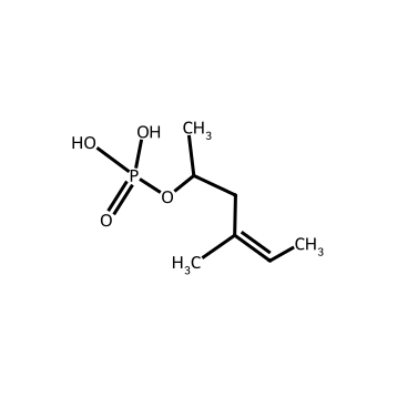 CC=C(C)CC(C)OP(=O)(O)O